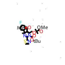 COC(=O)C1=C(COC(C)(C)C(=O)OC)N(C(=O)OC(C)(C)C)C(c2nccs2)=NC1(C)c1ccc(F)cc1